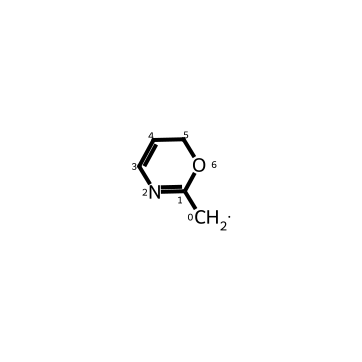 [CH2]C1=NC=CCO1